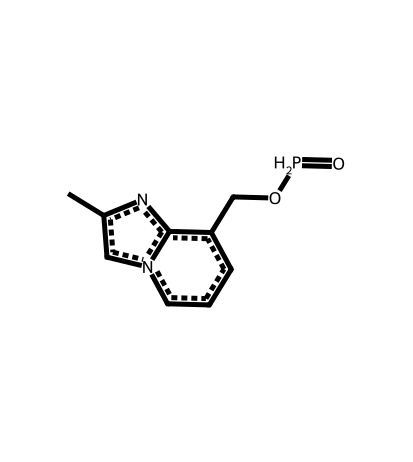 Cc1cn2cccc(CO[PH2]=O)c2n1